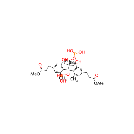 COC(=O)CCc1cc(C)c(C(OP(O)O)(c2c(C)cc(CCC(=O)OC)cc2C(C)(C)C)C(CO)(CO)COP(O)O)c(C(C)(C)C)c1